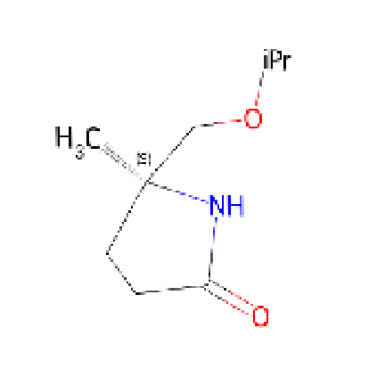 CC(C)OC[C@]1(C)CCC(=O)N1